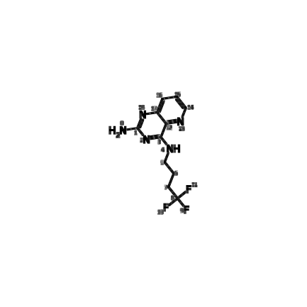 Nc1nc(NCCCC(F)(F)F)c2ncccc2n1